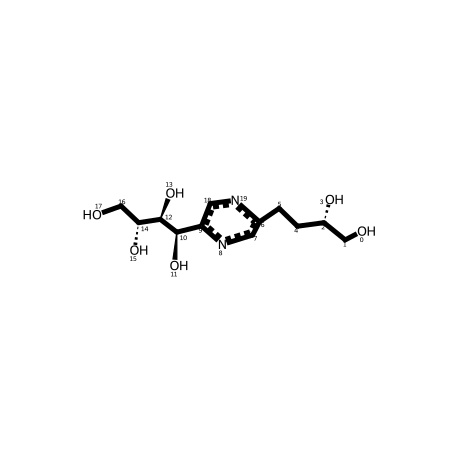 OC[C@@H](O)CCc1cnc([C@@H](O)[C@H](O)[C@H](O)CO)cn1